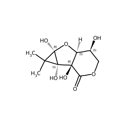 CC1(C)[C@]2(O)[C@@]3(O)C(=O)OC[C@H](O)[C@@H]3O[C@]12O